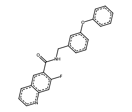 O=C(NCc1cccc(Oc2ccccc2)c1)c1cc2cccnc2cc1F